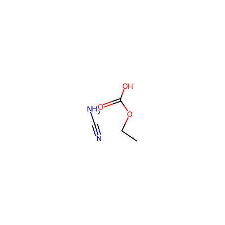 CCOC(=O)O.N#CN